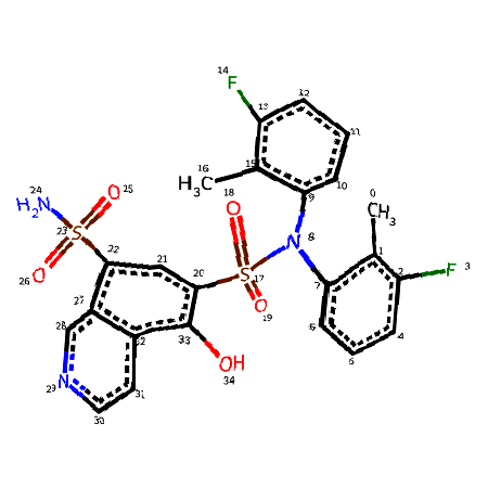 Cc1c(F)cccc1N(c1cccc(F)c1C)S(=O)(=O)c1cc(S(N)(=O)=O)c2cnccc2c1O